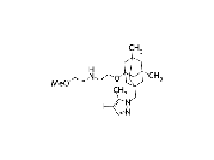 COCCNCCOC12CC3(C)CC(C)(CC(Cn4ncc(I)c4C)(C3)C1)C2